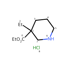 CCOC(=O)C1(CC)CCCNC1.Cl